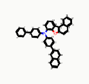 c1ccc(-c2ccc(N(c3ccc(-c4ccc5ccccc5c4)cc3)c3cccc4c3oc3ccc5ccccc5c34)cc2)cc1